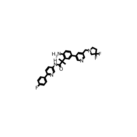 CC(C)(C(=O)Nc1ccc(-c2ccc(F)cc2)nc1)c1cc(-c2cncc(CN3CCC(F)(F)C3)c2)ccc1N